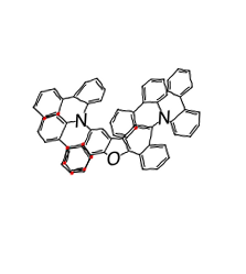 c1ccc(-c2ccccc2N(c2ccccc2-c2ccccc2)c2cc3c4cc(N(c5ccccc5-c5ccccc5)c5ccccc5-c5ccccc5)c5ccccc5c4oc3c3ccccc23)cc1